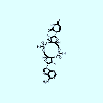 Nc1ncnc2c1ncn2[C@@H]1O[C@@H]2COP(=O)(S)O[C@@H]3[C@H](F)[C@H](n4ccc(=O)[nH]c4=O)O[C@@H]3COP(=O)(S)OC2[C@@H]1F